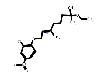 CCOC(C)(C)CCC/C(C)=C/COc1ccc([N+](=O)[O-])cc1Cl